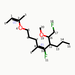 C/C=C(/C)OCCC/C(C)=C(/F)C(CCC)C(CF)OC